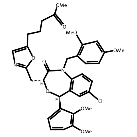 COC(=O)CCCc1cnc(C[C@H]2O[C@H](c3cccc(OC)c3OC)c3cc(Cl)ccc3N(Cc3ccc(OC)cc3OC)C2=O)o1